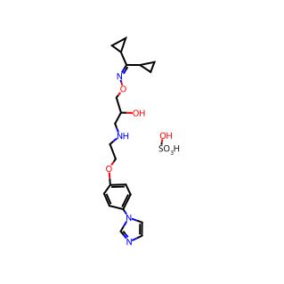 O=S(=O)(O)O.OC(CNCCOc1ccc(-n2ccnc2)cc1)CON=C(C1CC1)C1CC1